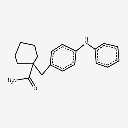 NC(=O)C1(Cc2ccc(Nc3ccccc3)cc2)CCCCC1